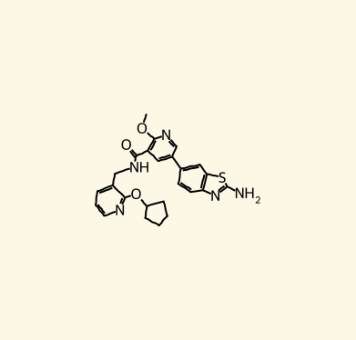 COc1ncc(-c2ccc3nc(N)sc3c2)cc1C(=O)NCc1cccnc1OC1CCCC1